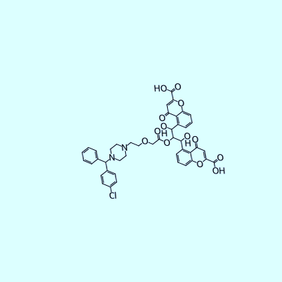 O=C(COCCN1CCN(C(c2ccccc2)c2ccc(Cl)cc2)CC1)OC(C(O)c1cccc2oc(C(=O)O)cc(=O)c12)C(O)c1cccc2oc(C(=O)O)cc(=O)c12